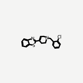 Clc1ccccc1CN1CC=C(c2nc3ccccc3s2)CC1